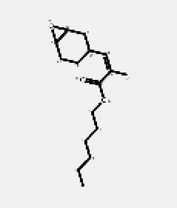 CCCCCCOC(=O)C(C)=CC1CCC2OC2C1